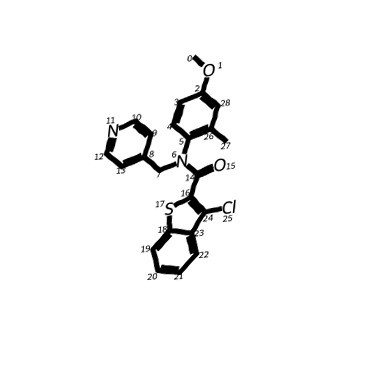 COc1ccc(N(Cc2ccncc2)C(=O)c2sc3ccccc3c2Cl)c(C)c1